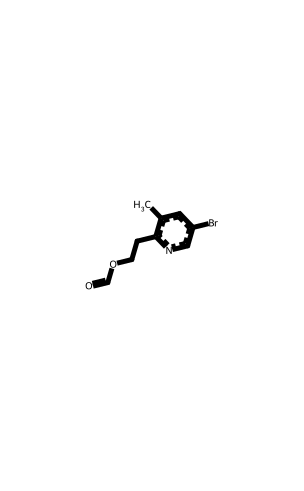 Cc1cc(Br)cnc1CCOC=O